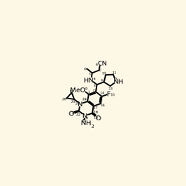 COc1c(C(NC(C)CC#N)C2CCNC2)c(F)cc2c(=O)n(N)c(=O)n(C3CC3)c12